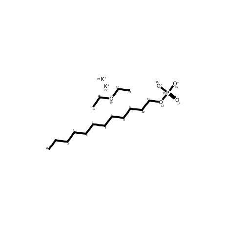 CCCCCCCCCCCCOP(=O)([O-])[O-].CCOCC.[K+].[K+]